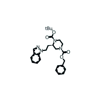 CC(C)(C)OC(=O)N1CCN(C(=O)OCc2ccccc2)C[C@H]1CCn1ncc2ccccc21